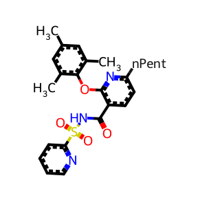 CCCCCc1ccc(C(=O)NS(=O)(=O)c2ccccn2)c(Oc2c(C)cc(C)cc2C)n1